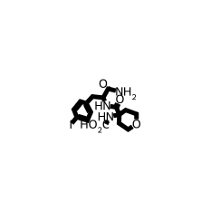 NC(=O)C(Cc1ccc(I)cc1)NC(=O)C1(NC(=O)O)CCOCC1